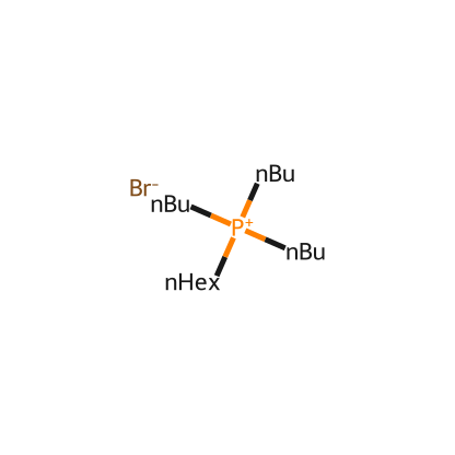 CCCCCC[P+](CCCC)(CCCC)CCCC.[Br-]